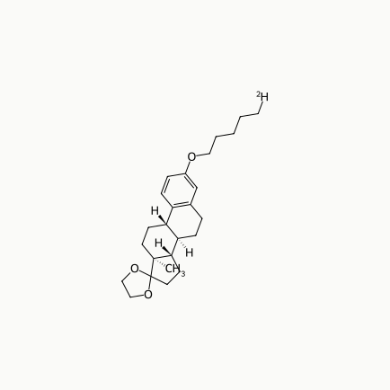 [2H]CCCCCOc1ccc2c(c1)CC[C@@H]1[C@@H]2CC[C@@]2(C)[C@H]1CCC21OCCO1